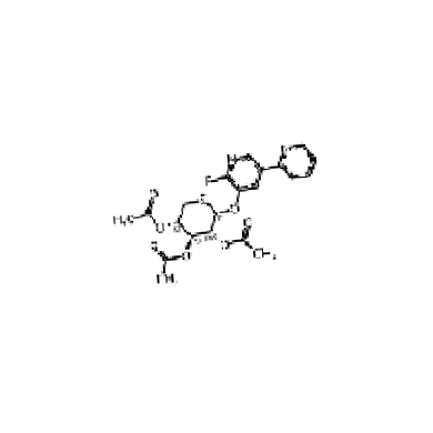 CC(=O)O[C@@H]1[C@@H](OC(C)=O)[C@H](OC(C)=O)CS[C@H]1Oc1cc(-c2ccccn2)cnc1F